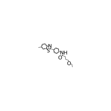 CCOCCCC(=O)Nc1ccc(-c2nc3ccc(C)cc3s2)cc1